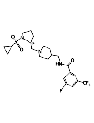 O=C(NCC1CCN(C[C@@H]2CCCN2S(=O)(=O)C2CC2)CC1)c1cc(F)cc(C(F)(F)F)c1